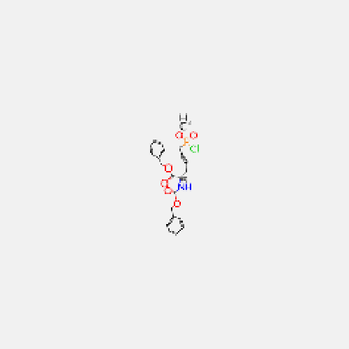 COP(=O)(Cl)CC#CC[C@H](NC(=O)OCc1ccccc1)C(=O)OCc1ccccc1